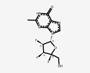 Cc1nc2c(ncn2[C@@H]2O[C@](F)(CO)[C@@H](F)[C@H]2F)c(=O)[nH]1